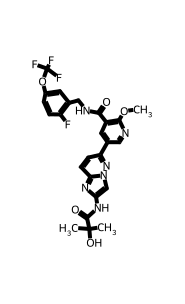 COc1ncc(-c2ccc3nc(NC(=O)C(C)(C)O)cn3n2)cc1C(=O)NCc1cc(OC(F)(F)F)ccc1F